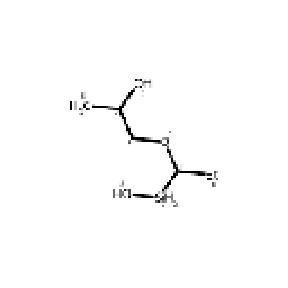 CCC(OCC(C)O)[SiH2]O